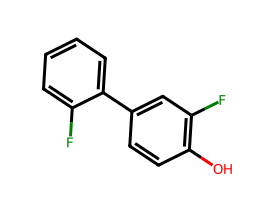 Oc1ccc(-c2ccccc2F)cc1F